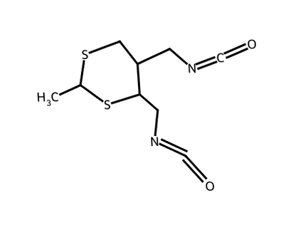 CC1SCC(CN=C=O)C(CN=C=O)S1